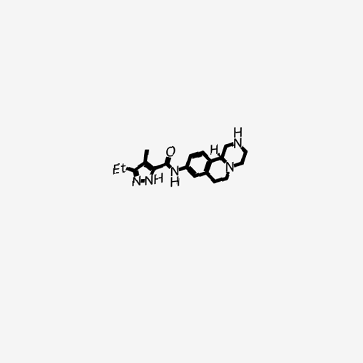 CCc1n[nH]c(C(=O)Nc2ccc3c(c2)CCN2CCNC[C@@H]32)c1C